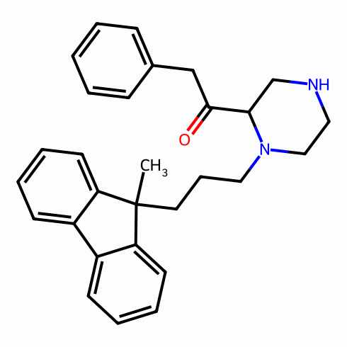 CC1(CCCN2CCNCC2C(=O)Cc2ccccc2)c2ccccc2-c2ccccc21